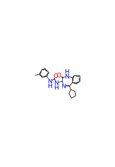 Cc1cccc(NC(=O)NC2N=C(C3CCCC3)c3ccccc3NC2=O)c1